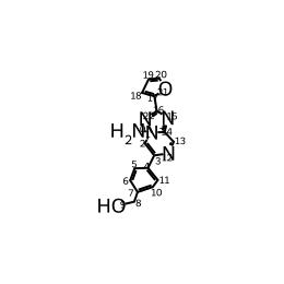 N[N+]12C=C(c3ccc(CO)cc3)N=CC1=NC(c1ccco1)=N2